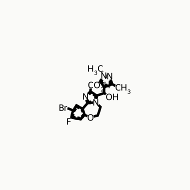 Cc1nn(C)cc1C(O)c1c(C(=O)O)nc2n1CCOc1cc(F)c(Br)cc1-2